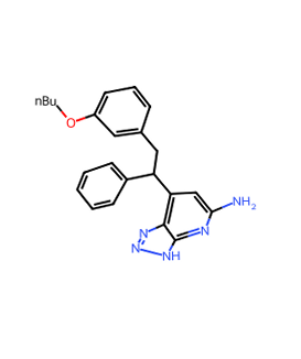 CCCCOc1cccc(CC(c2ccccc2)c2cc(N)nc3[nH]nnc23)c1